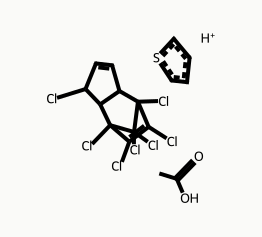 CC(=O)O.ClC1=C(Cl)C2(Cl)C3C(Cl)C=CC3C1(Cl)C2(Cl)Cl.[H+].c1ccsc1